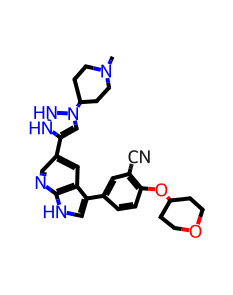 CN1CCC(N2C=C(c3cnc4[nH]cc(-c5ccc(OC6CCOCC6)c(C#N)c5)c4c3)NN2)CC1